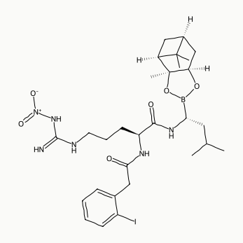 CC(C)C[C@H](NC(=O)[C@H](CCCNC(=N)N[N+](=O)[O-])NC(=O)Cc1ccccc1I)B1O[C@@H]2C[C@@H]3C[C@@H](C3(C)C)[C@]2(C)O1